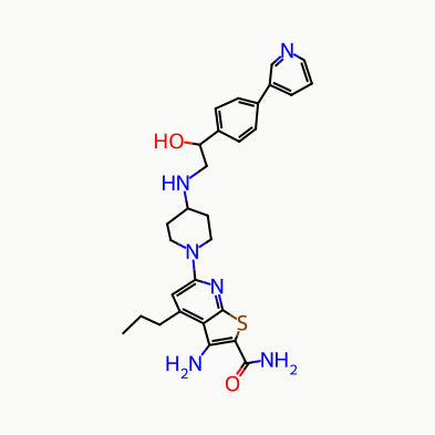 CCCc1cc(N2CCC(NCC(O)c3ccc(-c4cccnc4)cc3)CC2)nc2sc(C(N)=O)c(N)c12